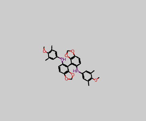 COc1c(C)cc(Pc2ccc3c(c2-c2c(Pc4cc(C)c(OC)c(C)c4)ccc4c2OCO4)OCO3)cc1C